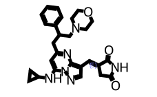 O=C1C/C(=C\c2cnn3c(NC4CC4)cc(CC(CN4CCOCC4)c4ccccc4)nc23)C(=O)N1